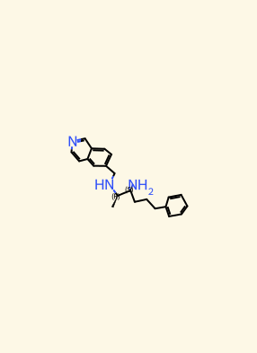 C[C@@H](NCc1ccc2cnccc2c1)[C@@H](N)CCCc1ccccc1